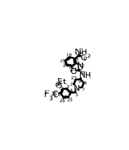 CCOc1cc(CN2CCC(Nc3nc4c(C(N)=O)[c]ccc4o3)CC2)ccc1C(F)(F)F